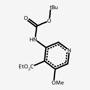 CCOC(=O)c1c(NC(=O)OC(C)(C)C)cncc1OC